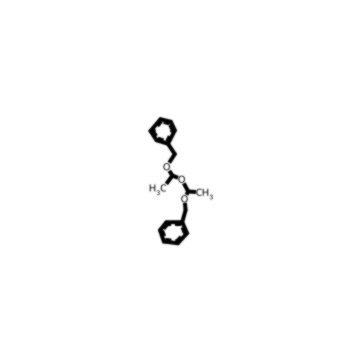 CC(OCc1ccccc1)OC(C)OCc1ccccc1